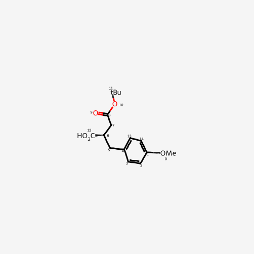 COc1ccc(C[C@H](CC(=O)OC(C)(C)C)C(=O)O)cc1